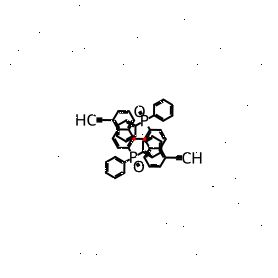 C#Cc1cccc2c(-c3c(P(=O)(c4ccccc4)c4ccccc4)ccc4c(C#C)cccc34)c(P(=O)(c3ccccc3)c3ccccc3)ccc12